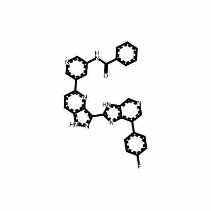 O=C(Nc1cncc(-c2ccc3[nH]nc(-c4nc5c(-c6ccc(F)cc6)cncc5[nH]4)c3n2)c1)c1ccccc1